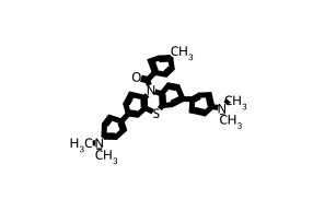 Cc1ccc(C(=O)N2c3ccc(-c4ccc(N(C)C)cc4)cc3Sc3cc(-c4ccc(N(C)C)cc4)ccc32)cc1